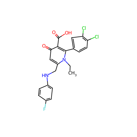 CCn1c(CNc2ccc(F)cc2)cc(=O)c(C(=O)O)c1-c1ccc(Cl)c(Cl)c1